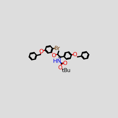 CC(Oc1cc(OCc2ccccc2)ccc1Br)[C@H](NC(=O)OC(C)(C)C)c1ccc(OCc2ccccc2)cc1